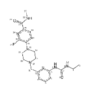 CCNC(=O)Nc1cccc(CN2CCN(c3ccc(C(=O)NC)nc3F)CC2)c1